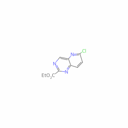 CCOC(=O)c1ncc2nc(Cl)ccc2n1